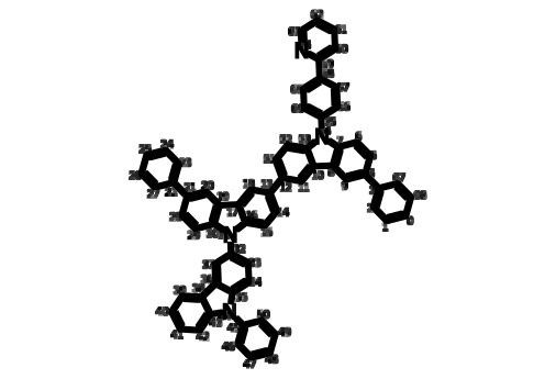 c1ccc(-c2ccc3c(c2)c2cc(-c4ccc5c(c4)c4cc(-c6ccccc6)ccc4n5-c4ccc5c(c4)c4ccccc4n5-c4ccccc4)ccc2n3-c2ccc(-c3ccccn3)cc2)cc1